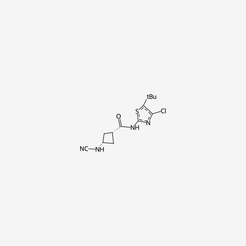 CC(C)(C)c1sc(NC(=O)[C@H]2C[C@@H](NC#N)C2)nc1Cl